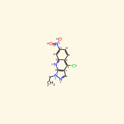 CCn1ncc2c(Cl)c3ccc([N+](=O)[O-])cc3nc21